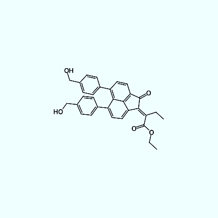 CCOC(=O)/C(CC)=c1/c(=O)c2ccc(-c3ccc(CO)cc3)c3c(-c4ccc(CO)cc4)ccc1c32